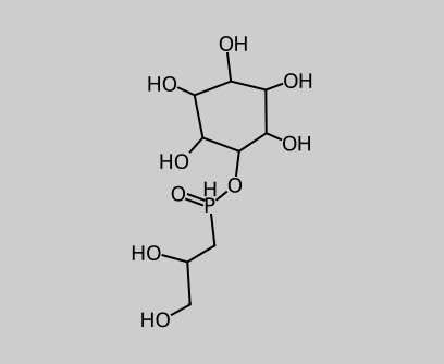 O=[PH](CC(O)CO)OC1C(O)C(O)C(O)C(O)C1O